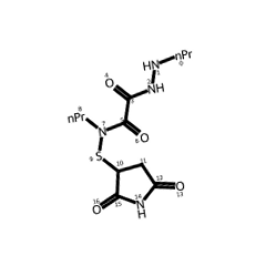 CCCNNC(=O)C(=O)N(CCC)SC1CC(=O)NC1=O